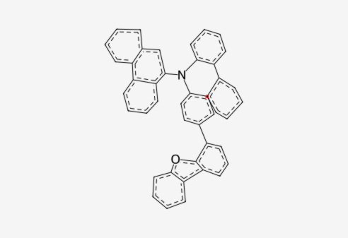 c1ccc(-c2ccccc2N(c2ccc(-c3cccc4c3oc3ccccc34)cc2)c2cc3ccccc3c3ccccc23)cc1